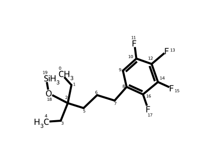 CCC(CC)(CCCc1cc(F)c(F)c(F)c1F)O[SiH3]